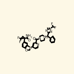 NC(=O)C1(c2ccc3c(c2)N(c2ccnc(C(=O)N4CCN([C@H](c5ccccc5)c5nnn(C(F)F)n5)CC4)c2)CO3)CC1(F)F